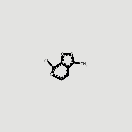 Cc1noc2c(Cl)nccc12